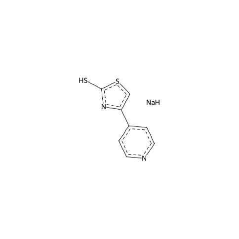 Sc1nc(-c2ccncc2)cs1.[NaH]